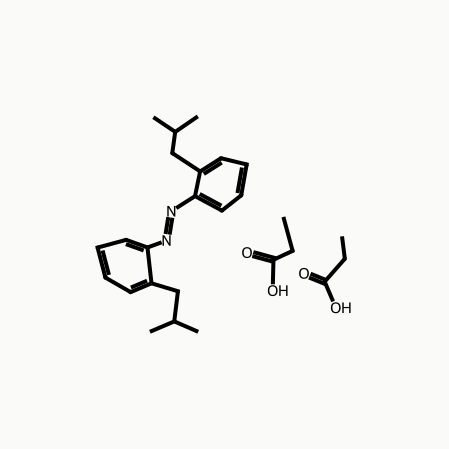 CC(C)Cc1ccccc1N=Nc1ccccc1CC(C)C.CCC(=O)O.CCC(=O)O